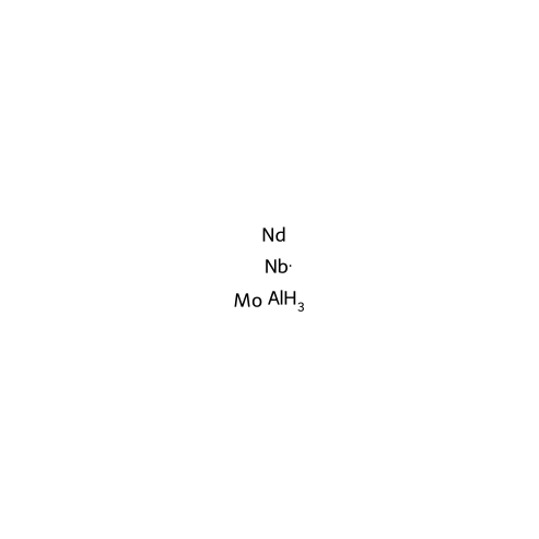 [AlH3].[Mo].[Nb].[Nd]